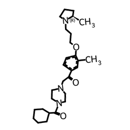 Cc1cc(C(=O)CN2CCN(C(=O)C3CCCCC3)CC2)ccc1OCCCN1CCC[C@H]1C